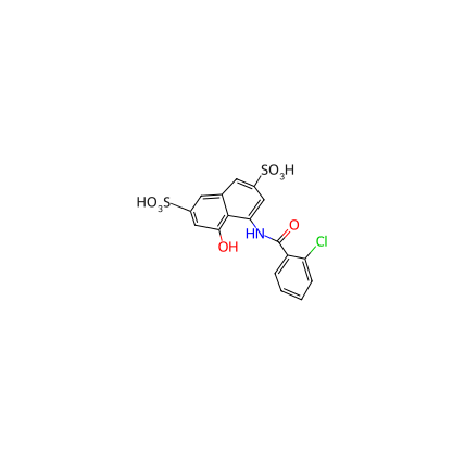 O=C(Nc1cc(S(=O)(=O)O)cc2cc(S(=O)(=O)O)cc(O)c12)c1ccccc1Cl